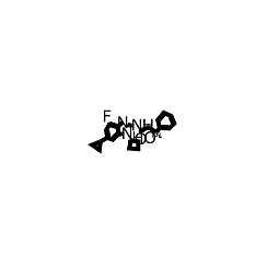 C[C@](O)(CC(=O)Nc1nc2c(F)cc(C3CC3)cc2n1C1CCC1)c1ccccc1